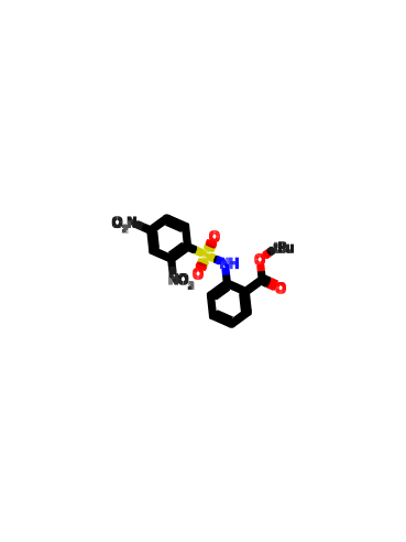 CC(C)(C)OC(=O)c1ccccc1NS(=O)(=O)c1ccc([N+](=O)[O-])cc1[N+](=O)[O-]